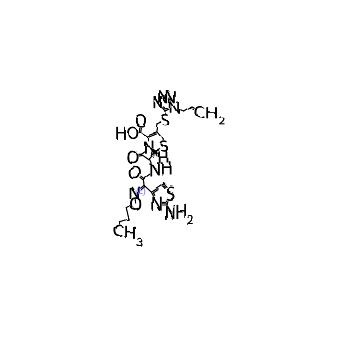 C=CCn1nnnc1SCC1=C(C(=O)O)N2C(=O)C(NC(=O)/C(=N/OCCCC)c3csc(N)n3)[C@H]2SC1